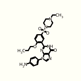 CCCOc1ccc(S(=O)(=O)N2CCN(CC)CC2)cc1-c1nc2c(ncn2-c2ccc(N)cc2)c(=O)[nH]1